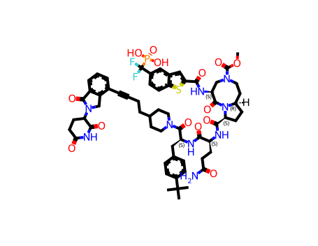 COC(=O)N1CC[C@H]2CC[C@@H](C(=O)N[C@@H](CCC(N)=O)C(=O)N[C@@H](Cc3ccc(C(C)(C)C)cc3)C(=O)N3CCC(CCC#Cc4cccc5c4CN(C4CCC(=O)NC4=O)C5=O)CC3)N2C(=O)[C@@H](NC(=O)c2cc3cc(C(F)(F)P(=O)(O)O)ccc3s2)C1